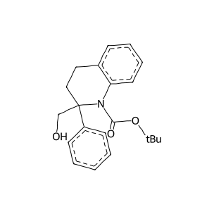 CC(C)(C)OC(=O)N1c2ccccc2CCC1(CO)c1ccccc1